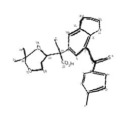 Cc1ccc(C(=S)c2cc(C(C)(C(=O)O)C3COC(C)(C)O3)cc3ccoc23)cc1